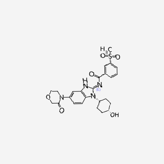 CS(=O)(=O)c1cccc(C(=O)/N=c2\[nH]c3cc(N4CCOCC4=O)ccc3n2[C@H]2CC[C@@H](O)CC2)c1